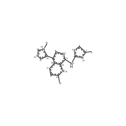 Cc1csc(Nc2ncc(-c3cncn3C)c3ccc(C)nc23)n1